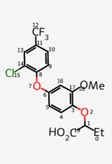 CCC(Oc1ccc(Oc2ccc(C(F)(F)F)cc2Cl)cc1OC)C(=O)O